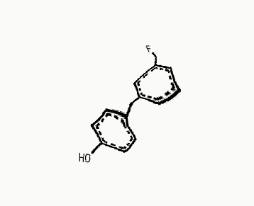 Oc1ccc(-c2cccc(F)c2)cc1